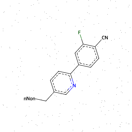 CCCCCCCCCCc1ccc(-c2ccc(C#N)c(F)c2)nc1